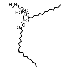 CCCCCCCC/C=C\CCCCCCCC(=O)OC[C@H](COP(=O)(O)OCCN)OC(=O)CCCCCCCCCCCC